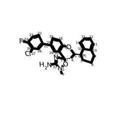 CN1O[C@@]2(CC([C@@H]3CCCc4ccccc43)Oc3ccc(-c4ccc(F)c(Cl)c4)cc32)N=C1N